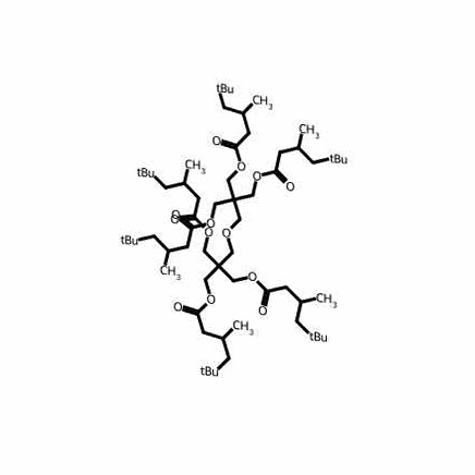 CC(CC(=O)OCC(COCC(COC(=O)CC(C)CC(C)(C)C)(COC(=O)CC(C)CC(C)(C)C)COC(=O)CC(C)CC(C)(C)C)(COC(=O)CC(C)CC(C)(C)C)COC(=O)CC(C)CC(C)(C)C)CC(C)(C)C